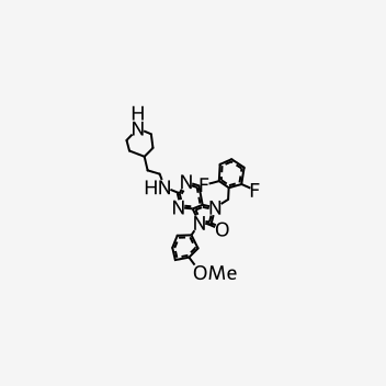 COc1cccc(-n2c(=O)n(Cc3c(F)cccc3F)c3cnc(NCCC4CCNCC4)nc32)c1